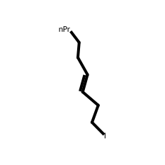 CCCCCC=CCCI